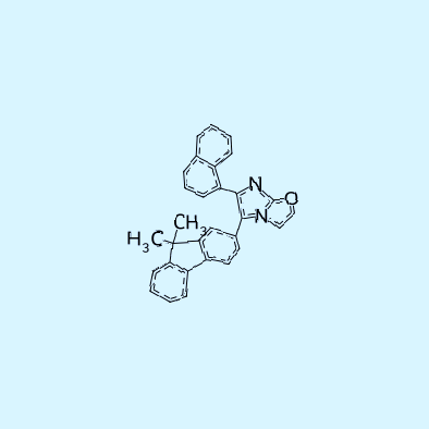 CC1(C)c2ccccc2-c2ccc(-c3c(-c4cccc5ccccc45)nc4occn34)cc21